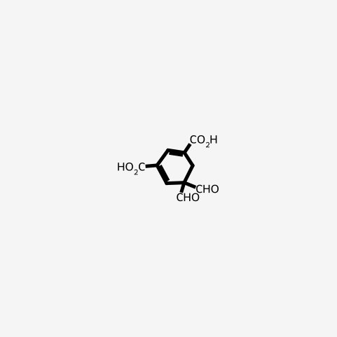 O=CC1(C=O)C=C(C(=O)O)C=C(C(=O)O)C1